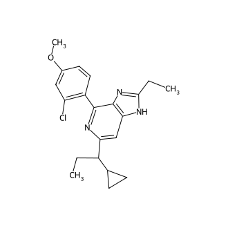 CCc1nc2c(-c3ccc(OC)cc3Cl)nc(C(CC)C3CC3)cc2[nH]1